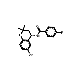 CC(=O)c1ccc2c(c1)[C@@H](NC(=O)c1ccc(F)cc1)CC(C)(C)O2